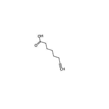 C#CCCCCCC(=O)O